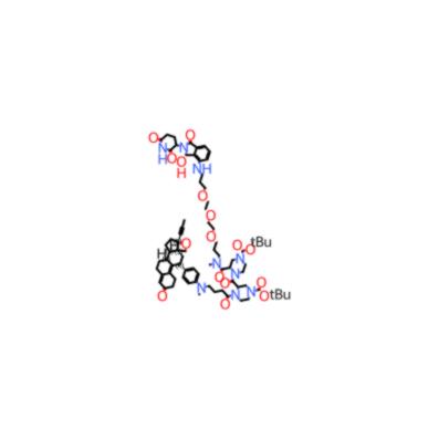 CC#C[C@]12CC[C@H]3[C@@H]4CCC5=CC(=O)CCC5=C4[C@@H](c4ccc(N(C)CCCC(=O)N5CCN(C(=O)OC(C)(C)C)CC5C(=O)N5CCN(C(=O)OC(C)(C)C)CC5C(=O)N(C)CCCOCCOCCOCCCNc5cccc6c5C(O)N(C5CCC(=O)NC5=O)C6=O)cc4)C[C@@]31CO2